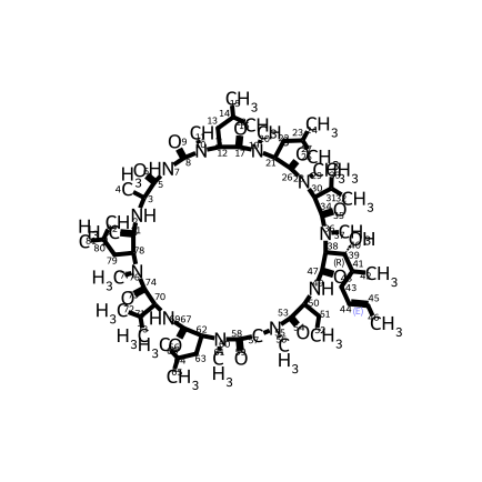 C=C1NC(C)C(=O)NC(=O)N(C)C(CC(C)C)C(=O)N(C)C(CC(C)C)C(=O)N(C)C(C(C)C)C(=O)N(C)C([C@H](O)C(C)C/C=C/C)C(=O)NC(CC)C(=O)N(C)CC(=O)N(C)C(CC(C)C)C(=O)NC(C(C)C)C(=O)N(C)C1CC(C)C